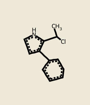 CC(Cl)c1[nH]ccc1-c1ccccc1